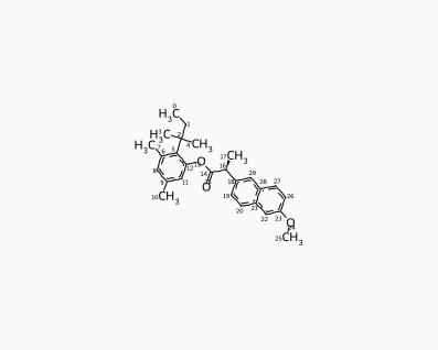 CCC(C)(C)c1c(C)cc(C)cc1OC(=O)[C@@H](C)c1ccc2cc(OC)ccc2c1